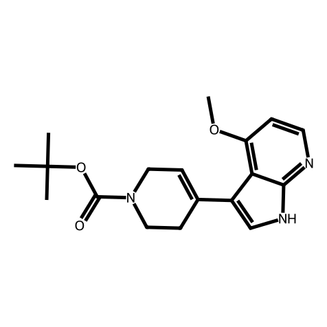 COc1ccnc2[nH]cc(C3=CCN(C(=O)OC(C)(C)C)CC3)c12